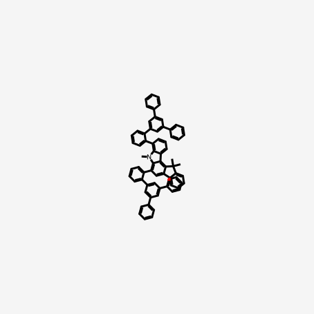 Cn1c2c(-c3ccccc3-c3cc(-c4ccccc4)cc(-c4ccccc4)c3)cccc2c2c3c(cc(-c4ccccc4-c4cc(-c5ccccc5)cc(-c5ccccc5)c4)c21)-c1ccccc1C3(C)C